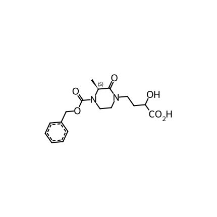 C[C@H]1C(=O)N(CCC(O)C(=O)O)CCN1C(=O)OCc1ccccc1